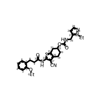 CCOc1ccccc1CCC(=O)Nc1sc2c(c1C#N)CCC(OC(=O)NCc1ccnn1CC)C2